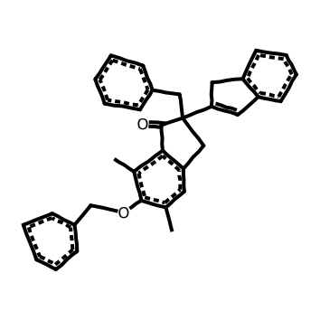 Cc1cc2c(c(C)c1OCc1ccccc1)C(=O)C(Cc1ccccc1)(C1=Cc3ccccc3C1)C2